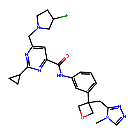 Cn1cnnc1CC1(c2cccc(NC(=O)c3cc(CN4CCC(F)C4)nc(C4CC4)n3)c2)COC1